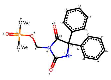 COP(=O)(OC)OCN1C(=O)NC(c2ccccc2)(c2ccccc2)C1=O